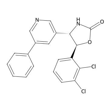 O=C1N[C@@H](c2cncc(-c3ccccc3)c2)[C@H](c2cccc(Cl)c2Cl)O1